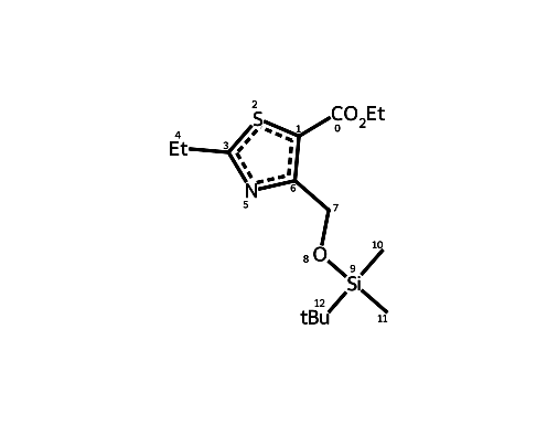 CCOC(=O)c1sc(CC)nc1CO[Si](C)(C)C(C)(C)C